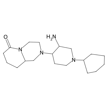 NC1CN(C2CCCCC2)CCC1N1CCN2C(=O)CCCC2C1